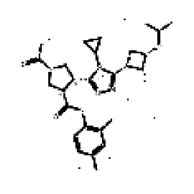 CC(=O)N1C[C@H](C(=O)Nc2ccc(C)cc2C)[C@@H](c2nnc([C@H]3C[C@@H](OC(C)C)C3)n2C2CC2)C1